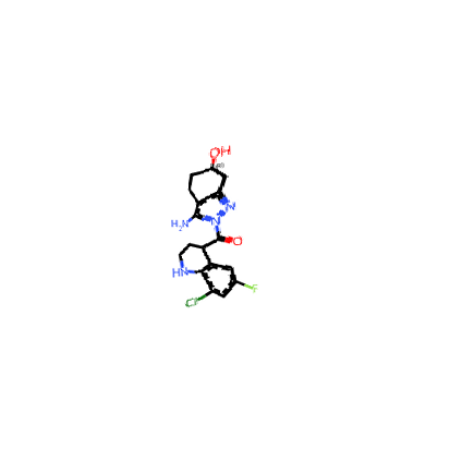 Nc1c2c(nn1C(=O)C1CCNc3c(Cl)cc(F)cc31)C[C@H](O)CC2